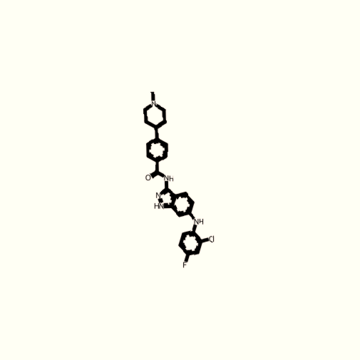 CN1CCC(c2ccc(C(=O)Nc3n[nH]c4cc(Nc5ccc(F)cc5Cl)ccc34)cc2)CC1